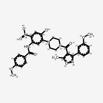 COc1ccc(C(=O)Nc2cc(N3CCN(C(=O)c4c(-c5cccc(OC)c5)noc4C)CC3)c(Cl)cc2[N+](=O)[O-])cc1